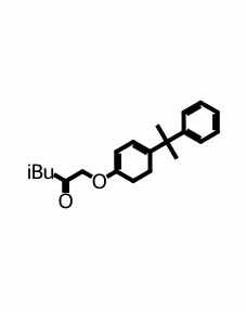 CCC(C)C(=O)COC1=CC=C(C(C)(C)c2ccccc2)CC1